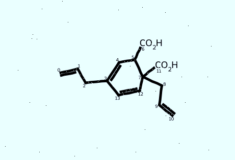 C=CCC1=CC(C(=O)O)C(CC=C)(C(=O)O)C=C1